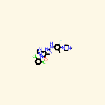 Cc1cc(Nc2ncc3c(=O)n(-c4c(Cl)cccc4Cl)n4ccnc4c3n2)cc(F)c1N1CCN(C)CC1